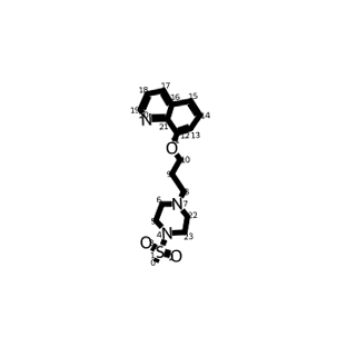 CS(=O)(=O)N1CCN(CCCOc2cccc3cccnc23)CC1